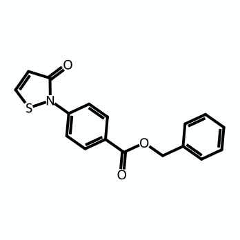 O=C(OCc1ccccc1)c1ccc(-n2sccc2=O)cc1